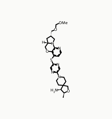 COCOC[C@H]1C[C@H]2COc3c(Sc4cnc(N5CCC6(CC5)CO[C@@H](C)[C@H]6N)cn4)ccnc3N2C1